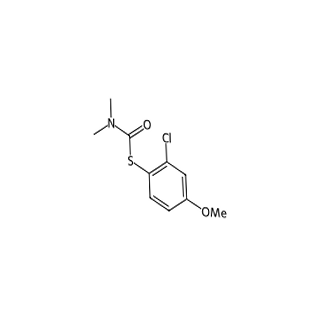 COc1ccc(SC(=O)N(C)C)c(Cl)c1